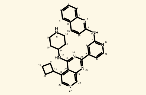 c1ccc2nc(Nc3cc(-c4nc(NC5CCNCC5)c5c(C6CCC6)cncc5n4)ccn3)ccc2c1